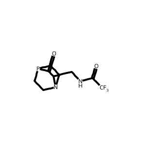 O=C1C(CNC(=O)C(F)(F)F)N2CCP1CC2